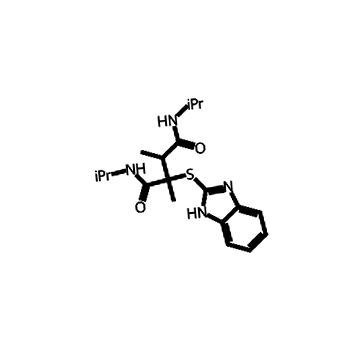 CC(C)NC(=O)C(C)C(C)(Sc1nc2ccccc2[nH]1)C(=O)NC(C)C